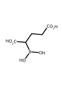 O=C(O)CCC(B(O)O)C(=O)O